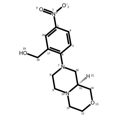 O=[N+]([O-])c1ccc(N2CCN3CCOC[C@@H]3C2)c(CO)c1